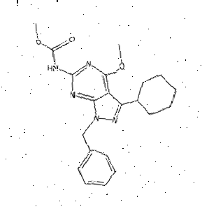 COC(=O)Nc1nc(OC)c2c(C3CCCCC3)nn(Cc3ccccc3)c2n1